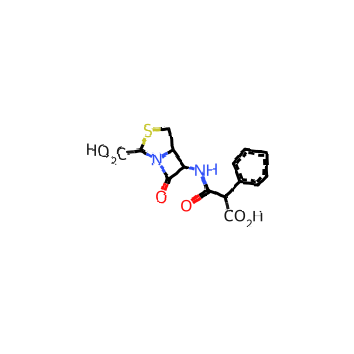 O=C(O)C(C(=O)NC1C(=O)N2C(C(=O)O)SCC12)c1ccccc1